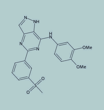 COc1ccc(Nc2nc(-c3cccc(S(C)(=O)=O)c3)nc3cn[nH]c23)cc1OC